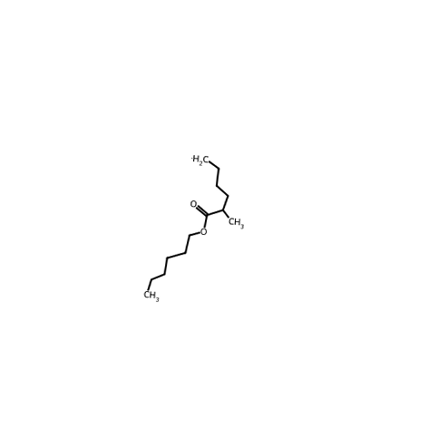 [CH2]CCCC(C)C(=O)OCCCCCC